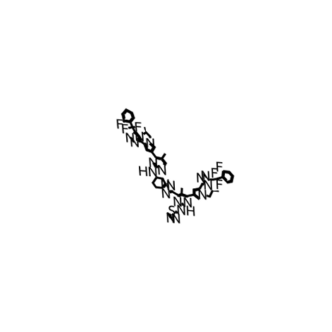 Cc1cnc(NC2CCc3nc(-c4nc(Nc5nncs5)nc(-c5cc6n(c5)C[C@H](C)n5c-6nnc5C(F)(F)c5ccccc5F)c4C)nn3C2)nc1-c1cc2n(c1)C[C@H](C)n1c-2nnc1C(F)(F)c1ccccc1F